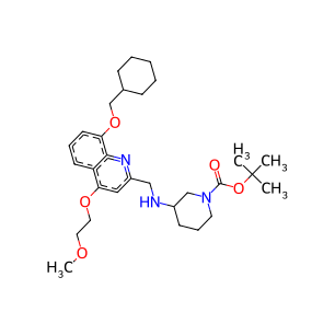 COCCOc1cc(CNC2CCCN(C(=O)OC(C)(C)C)C2)nc2c(OCC3CCCCC3)cccc12